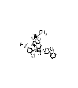 CCNS(=O)(=O)c1cnn2c(Nc3cc(C)ccc3Cl)c(C(=O)N3CCC4(CC3)OCc3ccccc34)cnc12